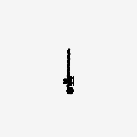 CCCCCCCCCCCCNC(=S)NCc1ccccc1